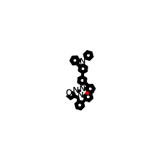 c1ccc(-c2ccccc2-c2nc(-n3c4ccccc4c4cc(-c5ccc6c(c5)c5ccccc5n6-c5ccccc5)ccc43)nc3occc23)cc1